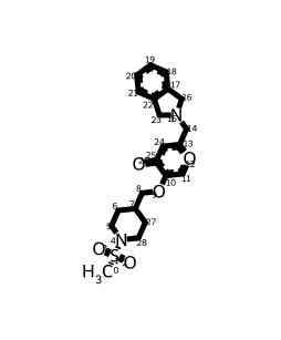 CS(=O)(=O)N1CCC(COc2coc(CN3Cc4ccccc4C3)cc2=O)CC1